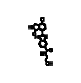 O=C(NCCO)c1ccc2[nH]c(-c3ccc(Cl)c4c3C(=O)NC4)nc2c1